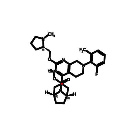 CN1CCC[C@H]1COc1nc2c(c(N3C[C@H]4CC[C@@H](C3)N4C(=O)OC(C)(C)C)n1)CCN(c1c(F)cccc1C(F)(F)F)C2